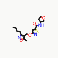 CCCCc1noc(C)c1COc1cc(C(=O)NC2CCOC2)sn1